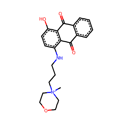 C[N+]1(CCCNc2ccc(O)c3c2C(=O)c2ccccc2C3=O)CCOCC1